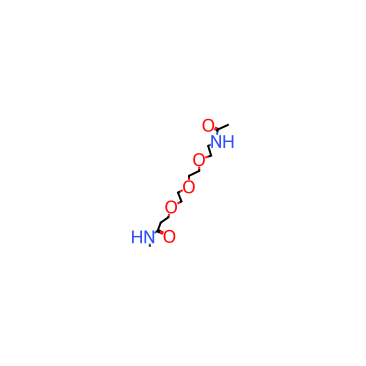 CNC(=O)CCOCCOCCOCCNC(C)=O